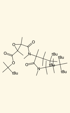 CN(C(=O)C(C)(N(C)C(=O)C1(C)OC1(C)C(=O)OC(C)(C)C(C)(C)C)C(C)(C)C(C)(C(C)(C)C)C(C)(C)C)C(C)(C)C(C)(C)C(C)(C(C)(C)C)C(C)(C)C